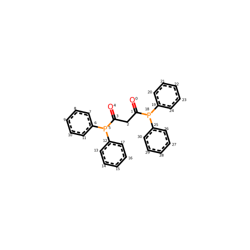 O=C(CC(=O)P(c1ccccc1)c1ccccc1)P(c1ccccc1)c1ccccc1